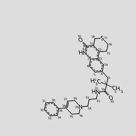 CC(C)(Cc1ccc2[nH]c(=O)c3c(c2c1)CCSC3)C(=O)NCCCN1CC=C(c2ccccc2)CC1